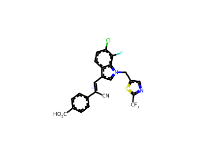 N#C/C(=C\c1cn(Cc2cnc(C(F)(F)F)s2)c2c(F)c(Cl)ccc12)c1ccc(C(=O)O)cc1